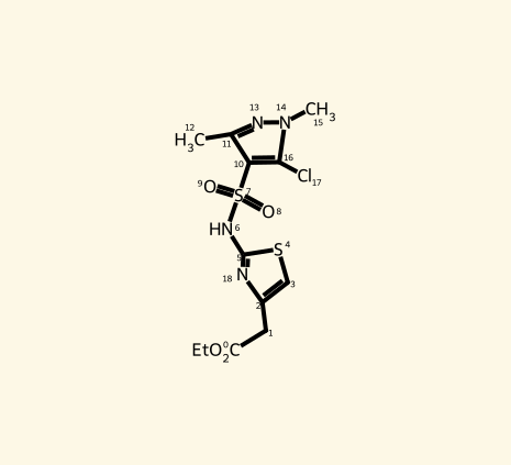 CCOC(=O)Cc1csc(NS(=O)(=O)c2c(C)nn(C)c2Cl)n1